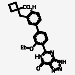 CCOc1cc(-c2cccc(CC3(C(=O)O)CCC3)c2)ccc1-c1nc2[nH]nnc2c(=O)[nH]1